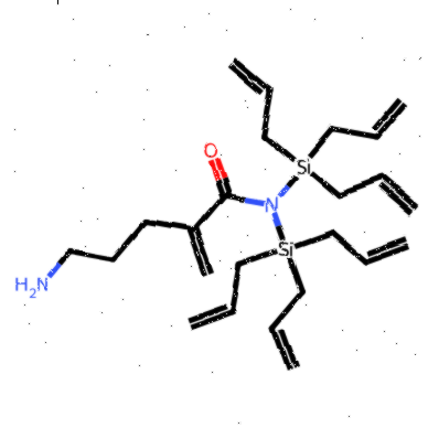 C=CC[Si](CC=C)(CC=C)N(C(=O)C(=C)CCCN)[Si](CC=C)(CC=C)CC=C